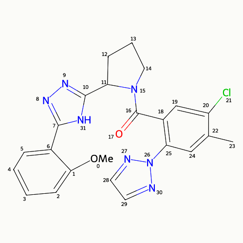 COc1ccccc1-c1nnc(C2CCCN2C(=O)c2cc(Cl)c(C)cc2-n2nccn2)[nH]1